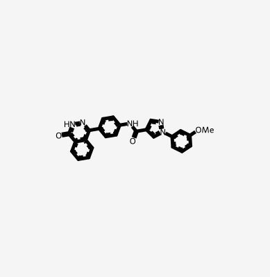 COc1cccc(-n2cc(C(=O)Nc3ccc(-c4n[nH]c(=O)c5ccccc45)cc3)cn2)c1